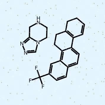 FC(F)(F)c1ccc2ccc3c(c2c1)CCC1=C3C=CCC1.c1nnc2n1CCNC2